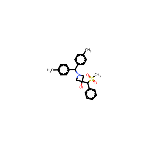 Cc1ccc(C(c2ccc(C)cc2)N2CC(O)(C(c3ccccc3)S(C)(=O)=O)C2)cc1